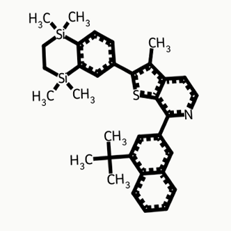 Cc1c(-c2ccc3c(c2)[Si](C)(C)CC[Si]3(C)C)sc2c(-c3cc(C(C)(C)C)c4ccccc4c3)nccc12